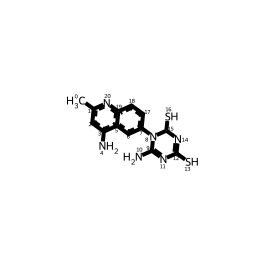 Cc1cc(N)c2cc(N3C(N)=NC(S)=NC3S)ccc2n1